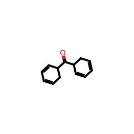 O=C(C1C=CC=CC1)C1C=CC=CC1